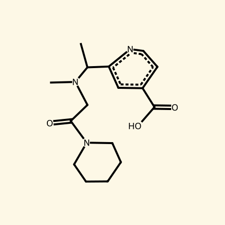 CC(c1cc(C(=O)O)ccn1)N(C)CC(=O)N1CCCCC1